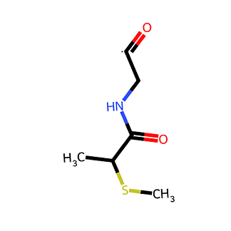 CSC(C)C(=O)NC[C]=O